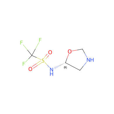 O=S(=O)(N[C@H]1CNCO1)C(F)(F)F